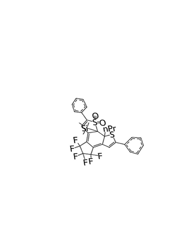 CCCC12SC(c3ccccc3)=CC1=C1C(=C3C=C(c4ccccc4)S(=O)(=O)C32[Si](C)(C)C)C(F)(F)C(F)(F)C1(F)F